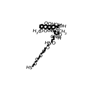 COc1cccc2c1C(=O)c1c(O)c3c(c(O)c1C2=O)C[C@@](O)(C(=O)CO)C[C@@H]3O[C@H]1C[C@H](NC(=O)CCC(=O)NCCOCCOCCOCCOCCOCCS)[C@H](O)[C@H](C)O1